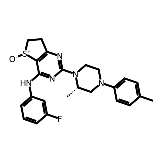 Cc1ccc(N2CCN(c3nc4c(c(Nc5cccc(F)c5)n3)[S+]([O-])CC4)[C@@H](C)C2)cc1